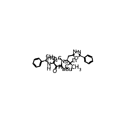 CCCC[C@@H](C(=O)C(=O)N[C@H](C)c1ccccc1)N(C(=O)O)[C@@H](Cc1nnc(-c2ccccc2)o1)C(C)(C)CC